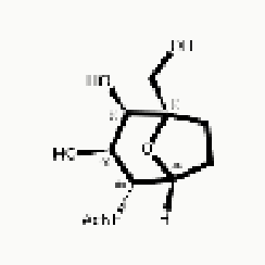 CC(=O)N[C@@H]1[C@@H](O)[C@@H](O)[C@]2(CO)CC[C@H]1O2